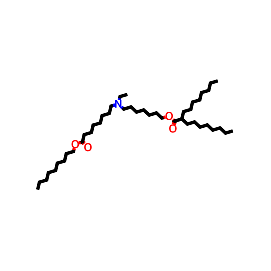 CCCCCCCCCOC(=O)CCCCCCCN(CC)CCCCCCCOC(=O)C(CCCCCCCC)CCCCCCCC